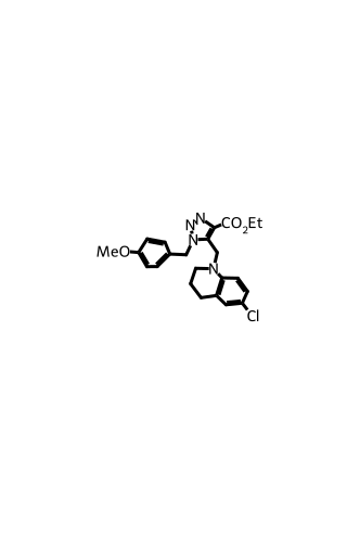 CCOC(=O)c1nnn(Cc2ccc(OC)cc2)c1CN1CCCc2cc(Cl)ccc21